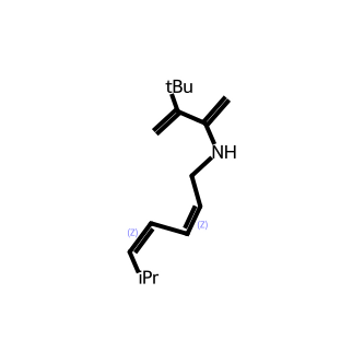 C=C(NC/C=C\C=C/C(C)C)C(=C)C(C)(C)C